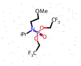 COCCN(C(C)C)P(=O)(OCC(F)(F)F)OCC(F)(F)F